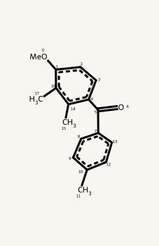 COc1ccc(C(=O)c2ccc(C)cc2)c(C)c1C